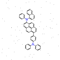 c1ccc(N(c2ccccc2)c2ccc(-c3ccc4ccc5c(N(c6ccccc6)c6cccc7ccccc67)ccc6ccc3c4c65)cc2)cc1